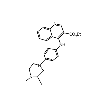 CCOC(=O)c1cnc2ccccc2c1Nc1ccc(N2CCN(C)C(C)C2)cc1